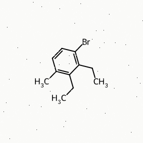 CCc1c(C)ccc(Br)c1CC